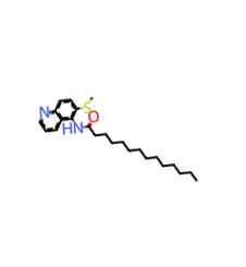 CCCCCCCCCCCCCC(=O)Nc1c(SC)ccc2ncccc12